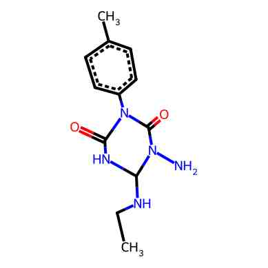 CCNC1NC(=O)N(c2ccc(C)cc2)C(=O)N1N